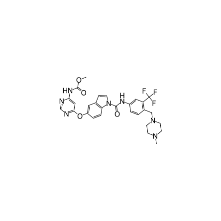 COC(=O)Nc1cc(Oc2ccc3c(ccn3C(=O)Nc3ccc(CN4CCN(C)CC4)c(C(F)(F)F)c3)c2)ncn1